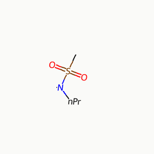 CCC[N]S(C)(=O)=O